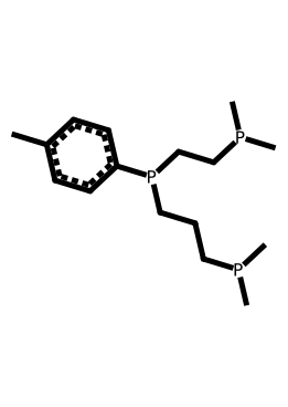 Cc1ccc(P(CCCP(C)C)CCP(C)C)cc1